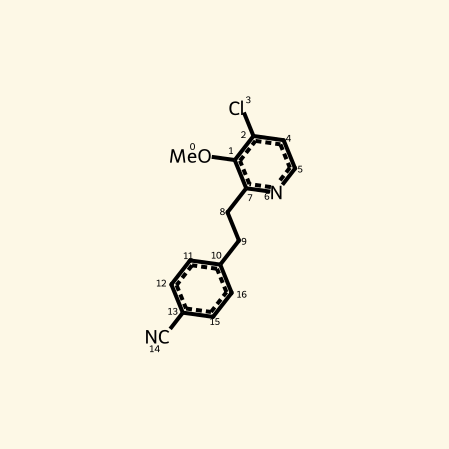 COc1c(Cl)ccnc1CCc1ccc(C#N)cc1